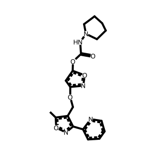 Cc1onc(-c2ccccn2)c1COc1cc(OC(=O)NN2CCCCC2)on1